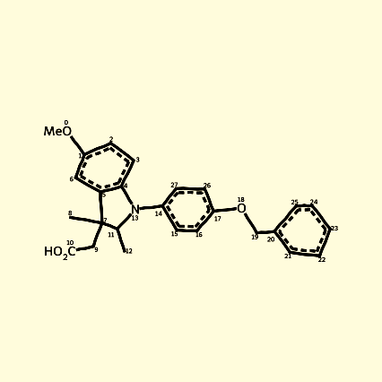 COc1ccc2c(c1)C(C)(CC(=O)O)C(C)N2c1ccc(OCc2ccccc2)cc1